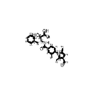 Cc1cc(C(=O)N[C@H](Cc2ccccc2)[C@@H](O)C(=O)O)ccc1-n1c(C)cc(C=O)c1C